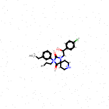 CC(C)CC[N+]1(c2cccc(CC(=O)O)c2)C(=O)N(CC(O)c2ccc(Br)cc2)C2(CCNCC2)C1=O